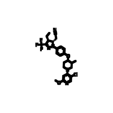 CC[C@@H]1C(C(F)(F)F)=NN(c2ccc(OC3CCN(c4cc(OC)ncc4Cl)CC3C)cc2)[C@H]1CC#N